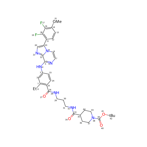 CCc1cc(Nc2nccn3c(-c4ccc(OC)c(F)c4F)cnc23)ccc1C(=O)NCCCNC(=O)C1CCN(C(=O)OC(C)(C)C)CC1